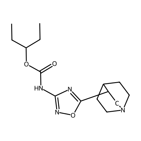 CCC(CC)OC(=O)Nc1noc(C2CN3CCC2CC3)n1